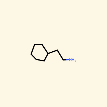 NCC[C]1CCCCC1